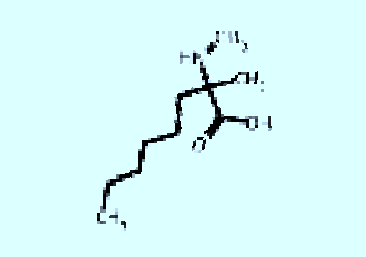 CCCCCCC(C)(NC)C(=O)O